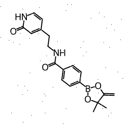 C=C1OB(c2ccc(C(=O)NCCc3cc[nH]c(=O)c3)cc2)OC1(C)C